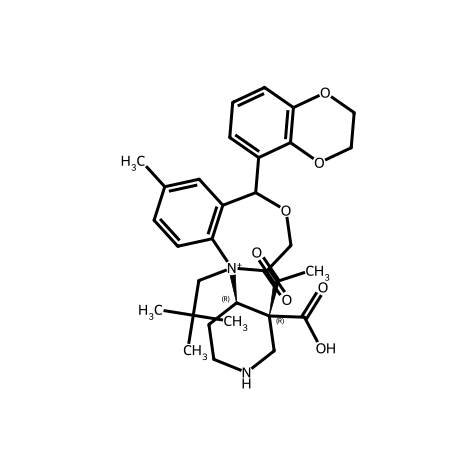 CC(=O)[C@@]1(C(=O)O)CNCC[C@H]1[N+]1(CC(C)(C)C)C(=O)COC(c2cccc3c2OCCO3)c2cc(C)ccc21